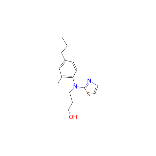 CCCc1ccc(N(CCCO)c2nccs2)c(C)c1